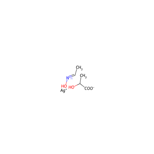 C/C=N/O.CC(O)C(=O)[O-].[Ag+]